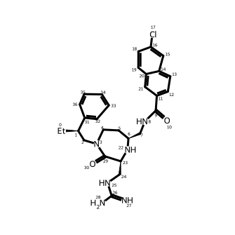 CC[C@H](CN1CC[C@@H](CNC(=O)c2ccc3cc(Cl)ccc3c2)N[C@@H](CNC(=N)N)C1=O)c1ccccc1